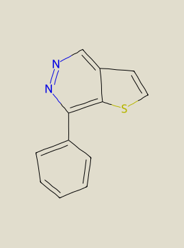 c1ccc(-c2nncc3ccsc23)cc1